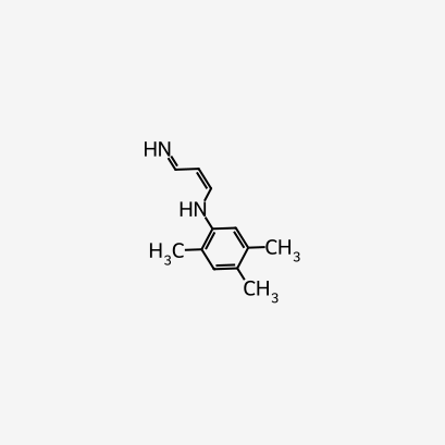 Cc1cc(C)c(N/C=C\C=N)cc1C